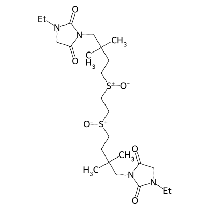 CCN1CC(=O)N(CC(C)(C)CC[S+]([O-])CC[S+]([O-])CCC(C)(C)CN2C(=O)CN(CC)C2=O)C1=O